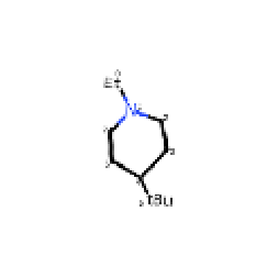 CCN1CCC(C(C)(C)C)CC1